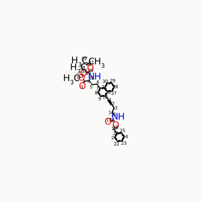 COC(=O)[C@H](CCc1ccc(C#CCCNC(=O)OCc2ccccc2)c2ccccc12)NC(=O)OC(C)(C)C